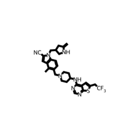 C=C1CC(Cn2c(C#N)cc3c(C)c(CN4CCC(Nc5ncnc6sc(CC(F)(F)F)cc56)CC4)ccc32)CN1